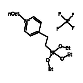 CCCCCCCC[n+]1ccc(CC[Si](OCC)(OCC)OCC)cc1.F[B-](F)(F)F